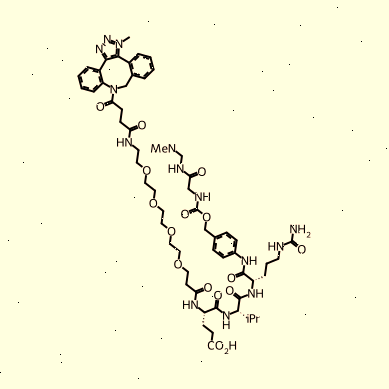 CNCNC(=O)CNC(=O)OCc1ccc(NC(=O)[C@H](CCCNC(N)=O)NC(=O)[C@@H](NC(=O)[C@H](CCC(=O)O)NC(=O)CCOCCOCCOCCOCCNC(=O)CCC(=O)N2Cc3ccccc3-c3c(nnn3C)-c3ccccc32)C(C)C)cc1